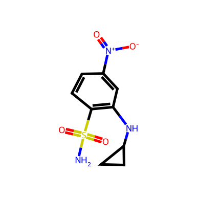 NS(=O)(=O)c1ccc([N+](=O)[O-])cc1NC1CC1